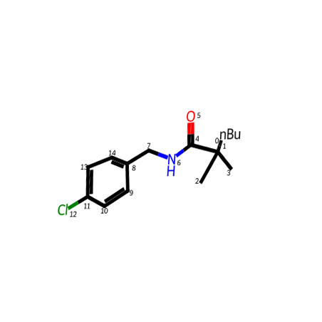 CCCCC(C)(C)C(=O)NCc1ccc(Cl)cc1